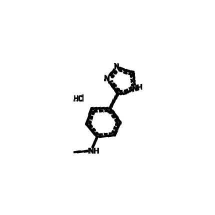 CNc1ccc(-c2nnc[nH]2)cc1.Cl